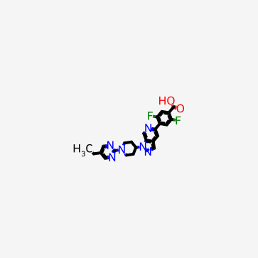 CCc1cnc(N2CCC(n3ncc4cc(-c5cc(F)c(C(=O)O)cc5F)ncc43)CC2)nc1